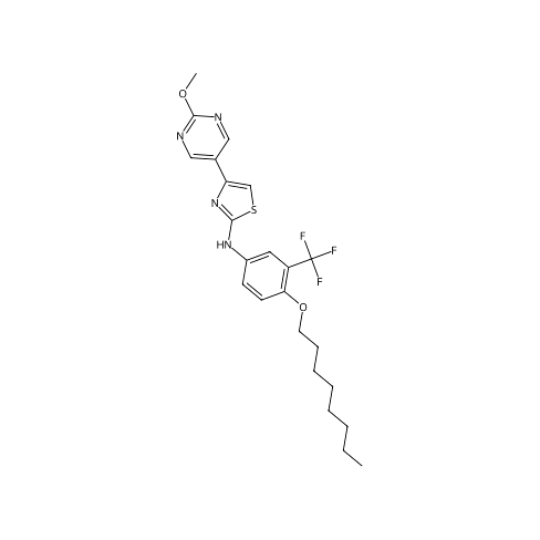 CCCCCCCCOc1ccc(Nc2nc(-c3cnc(OC)nc3)cs2)cc1C(F)(F)F